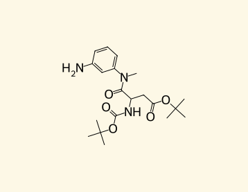 CN(C(=O)C(CC(=O)OC(C)(C)C)NC(=O)OC(C)(C)C)c1cccc(N)c1